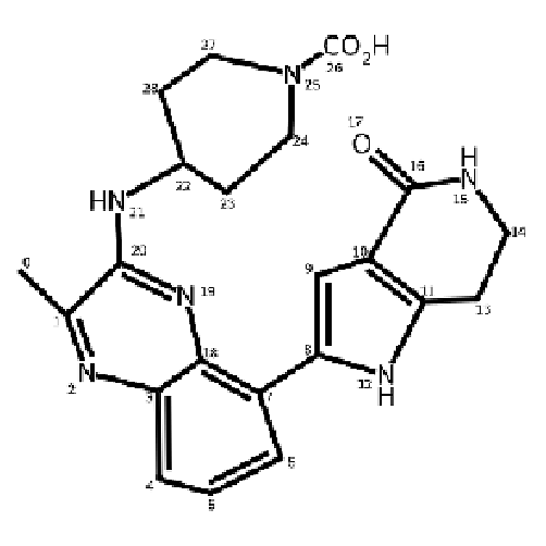 Cc1nc2cccc(-c3cc4c([nH]3)CCNC4=O)c2nc1NC1CCN(C(=O)O)CC1